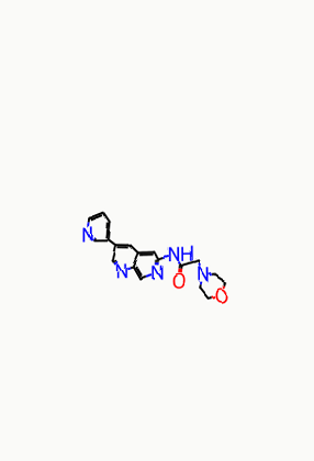 O=C(CN1CCOCC1)Nc1cc2cc(-c3cccnc3)cnc2cn1